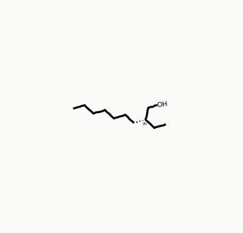 CCCCCCC[C@@H](CC)CO